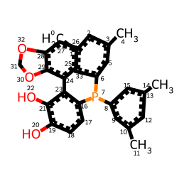 Cc1cc(C)cc(P(c2cc(C)cc(C)c2)c2ccc(O)c(O)c2-c2cccc3c2OCO3)c1